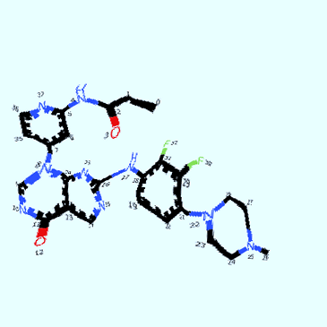 C=CC(=O)Nc1cc(-n2cnc(=O)c3cnc(Nc4ccc(N5CCN(C)CC5)c(F)c4F)nc32)ccn1